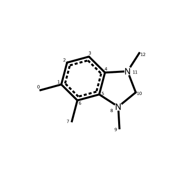 Cc1ccc2c(c1C)N(C)CN2C